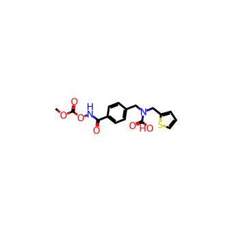 COC(=O)ONC(=O)c1ccc(CN(Cc2cccs2)C(=O)O)cc1